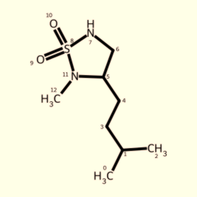 CC(C)CCC1CNS(=O)(=O)N1C